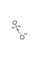 N#Cc1ccccc1CCC#CC(C#N)(C#N)c1ccccc1